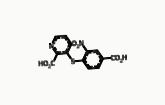 O=C(O)c1ccc(Sc2cccnc2C(=O)O)c([N+](=O)[O-])c1